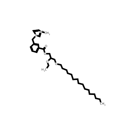 CCCCCCCCCCCCCCCCOCC(COC(=O)c1cccc(Cn2cc[n+](C)c2)c1)OCC